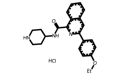 CCOc1ccc(-c2cc3ccccc3c(C(=O)NC3CCNCC3)n2)cc1.Cl